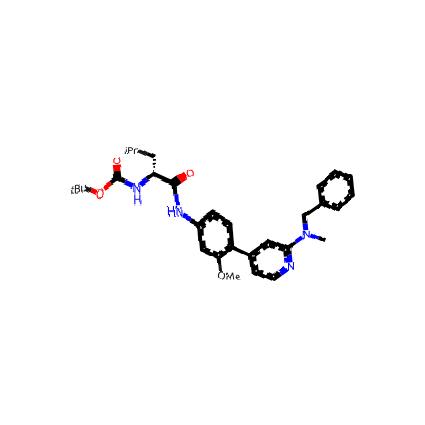 COc1cc(NC(=O)[C@@H](CC(C)C)NC(=O)OC(C)(C)C)ccc1-c1ccnc(N(C)Cc2ccccc2)c1